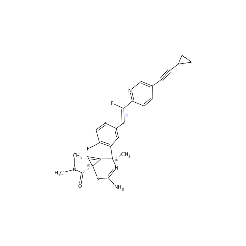 CN(C)C(=O)[C@]12C=C1[C@@](C)(c1cc(/C=C(\F)c3ccc(C#CC4CC4)cn3)ccc1F)N=C(N)S2